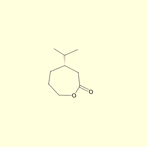 CC(C)[C@H]1CCCOC(=O)C1